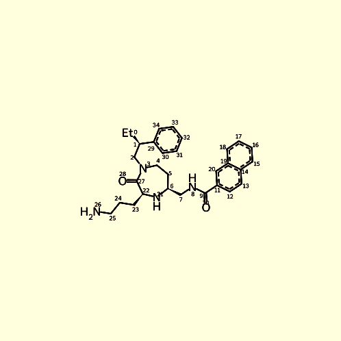 CC[C@H](CN1CC[C@@H](CNC(=O)c2ccc3ccccc3c2)N[C@@H](CCCN)C1=O)c1ccccc1